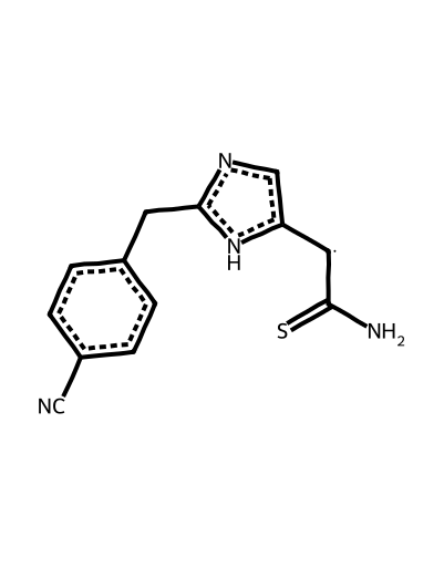 N#Cc1ccc(Cc2ncc([CH]C(N)=S)[nH]2)cc1